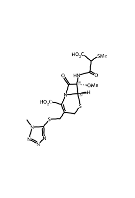 CO[C@@]1(NC(=O)C(SC)C(=O)O)C(=O)N2C(C(=O)O)=C(CSc3nnnn3C)CS[C@H]21